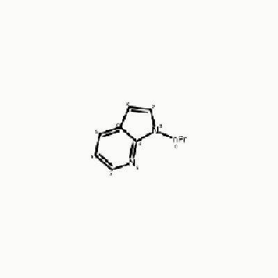 [CH2]CCn1ccc2cccnc21